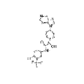 O=C(Nc1ccc(Cl)c(C(F)(F)F)c1)N(O)c1ccc(-n2cnc3cncnc32)cc1